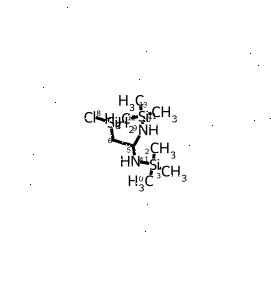 C[Si](C)(C)NC(C[SiH2]Cl)N[Si](C)(C)C